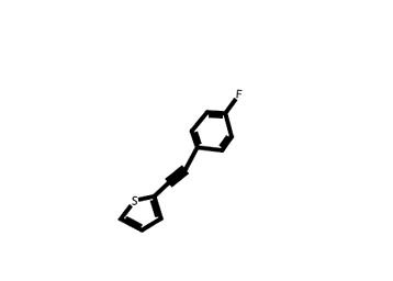 Fc1ccc(C#Cc2cccs2)cc1